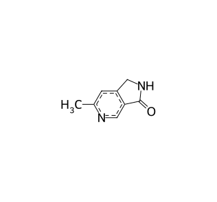 Cc1cc2c(cn1)C(=O)NC2